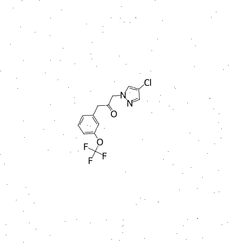 O=C(Cc1cccc(OC(F)(F)F)c1)Cn1cc(Cl)cn1